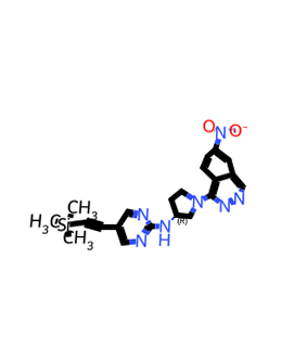 C[Si](C)(C)C#Cc1cnc(N[C@@H]2CCN(c3nncc4cc([N+](=O)[O-])ccc34)C2)nc1